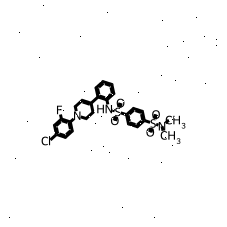 CN(C)S(=O)(=O)c1ccc(S(=O)(=O)Nc2ccccc2C2=CCN(c3ccc(Cl)cc3F)CC2)cc1